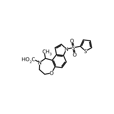 CC1c2c(ccc3c2ccn3S(=O)(=O)c2cccs2)OCCN1C(=O)O